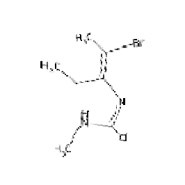 CCC(/N=C(/Cl)NC)=C(\C)Br